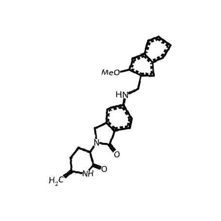 C=C1CCC(N2Cc3cc(NCc4cc5ccccc5cc4OC)ccc3C2=O)C(=O)N1